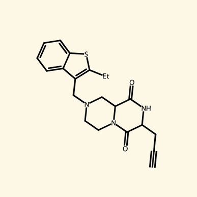 C#CCC1NC(=O)C2CN(Cc3c(CC)sc4ccccc34)CCN2C1=O